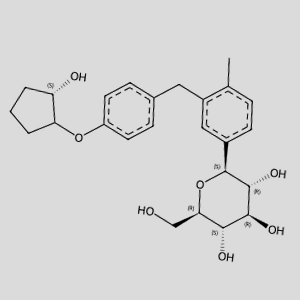 Cc1ccc([C@@H]2O[C@H](CO)[C@@H](O)[C@H](O)[C@H]2O)cc1Cc1ccc(OC2CCC[C@@H]2O)cc1